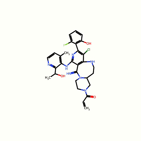 C=CC(=O)N1CCN2C(=N)c3c(Nc4c(C)ccnc4C(C)O)nc(-c4c(O)cccc4F)c(Cl)c3NCCC2C1